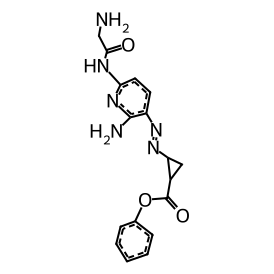 NCC(=O)Nc1ccc(N=NC2CC2C(=O)Oc2ccccc2)c(N)n1